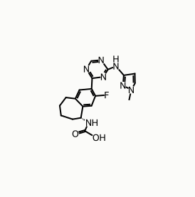 Cn1ccc(Nc2ncnc(-c3cc4c(cc3F)[C@H](NC(=O)O)CCCC4)n2)n1